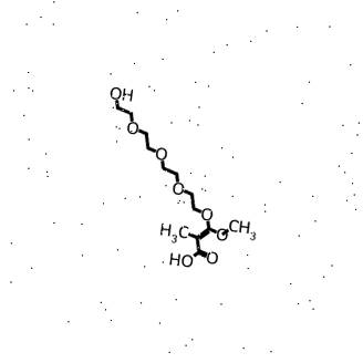 COC(OCCOCCOCCOCCO)=C(C)C(=O)O